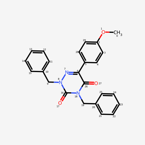 COc1ccc(-c2nn(Cc3ccccc3)c(=O)n(Cc3ccccc3)c2=O)cc1